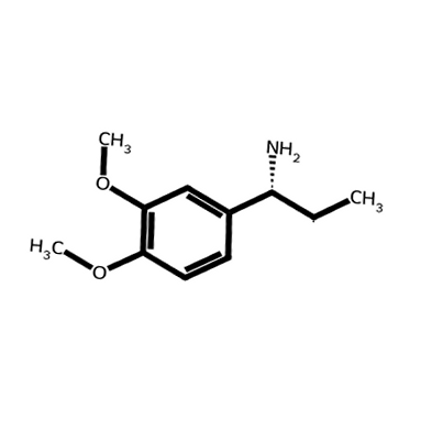 C[CH][C@@H](N)c1ccc(OC)c(OC)c1